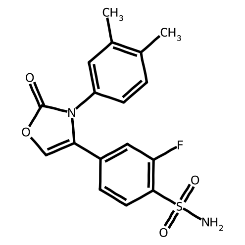 Cc1ccc(-n2c(-c3ccc(S(N)(=O)=O)c(F)c3)coc2=O)cc1C